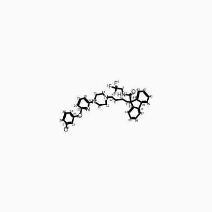 O=C(NCC(F)(F)F)C1(CCCCN2CCN(c3cccc(Oc4cccc(Cl)c4)n3)CC2)c2ccccc2-c2ccccc21